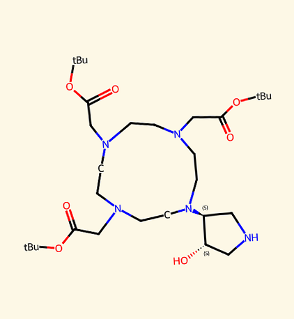 CC(C)(C)OC(=O)CN1CCN(CC(=O)OC(C)(C)C)CCN([C@H]2CNC[C@@H]2O)CCN(CC(=O)OC(C)(C)C)CC1